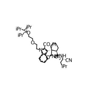 CC(C)C[C@@H](C#N)NC(=O)[C@@H]1CCCC[C@@]1(C(N)=O)c1c(C(=O)O)n(CCOCCO[Si](C(C)C)(C(C)C)C(C)C)c2ccccc12